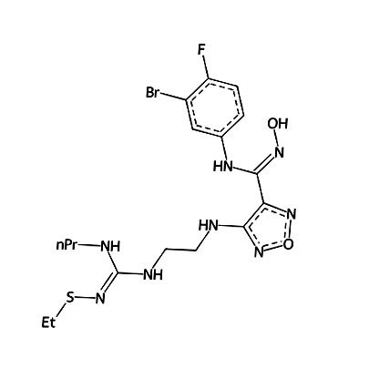 CCCN/C(=N\SCC)NCCNc1nonc1/C(=N/O)Nc1ccc(F)c(Br)c1